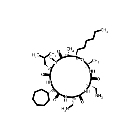 CCCCCC[C@H]1O[C@@H](C)NC(=O)[C@H](CN)NC(=O)[C@H](CN)NC(=O)[C@H](C2CCCCCC2)NC(=O)[C@H](CC(C)C)N(C)C(=O)[C@@H]1C